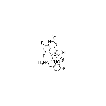 C#Cc1c(F)ccc2c1C(C1OC(c3nc(OC)nc4c(F)cc(F)c(C5(CN(C)C)CC5)c34)CNCC1(C)O)=CN(N)C2